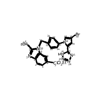 CCCCc1nc2ccc(C(=O)OCC)cc2n1Cc1ccc(-n2cc(Br)cc2-c2nnn[nH]2)cc1